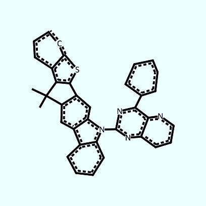 CC1(C)c2cc3c4ccccc4n(-c4nc(-c5ccccc5)c5ncccc5n4)c3cc2-c2sc3ccccc3c21